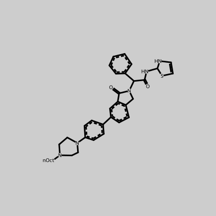 CCCCCCCCN1CCN(c2ccc(-c3ccc4c(c3)C(=O)N(C(C(=O)NC3NC=CS3)c3ccccc3)C4)cc2)CC1